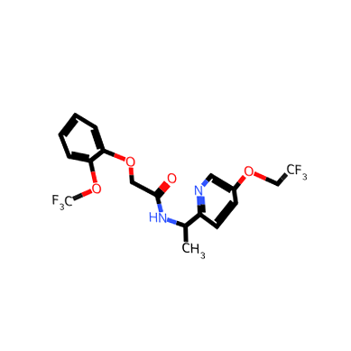 CC(NC(=O)COc1ccccc1OC(F)(F)F)c1ccc(OCC(F)(F)F)cn1